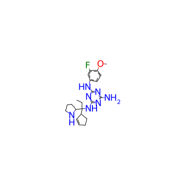 CCC(Nc1nc(N)nc(Nc2ccc(OC)c(F)c2)n1)(C1C=CCC1)C1CCCN1